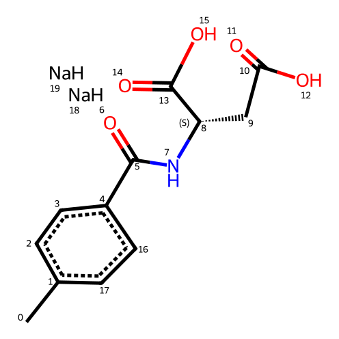 Cc1ccc(C(=O)N[C@@H](CC(=O)O)C(=O)O)cc1.[NaH].[NaH]